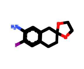 Nc1cc2c(cc1I)CCC1(C2)OCCO1